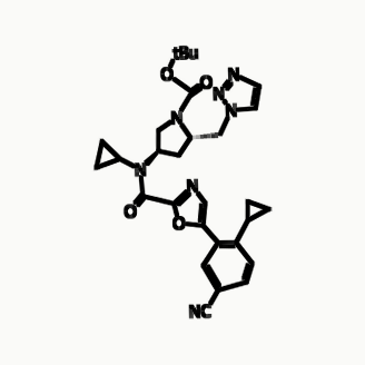 CC(C)(C)OC(=O)N1C[C@H](N(C(=O)c2ncc(-c3cc(C#N)ccc3C3CC3)o2)C2CC2)C[C@H]1Cn1ccnn1